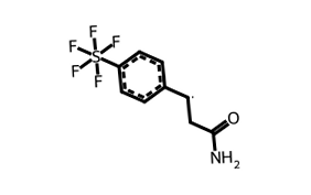 NC(=O)C[CH]c1ccc(S(F)(F)(F)(F)F)cc1